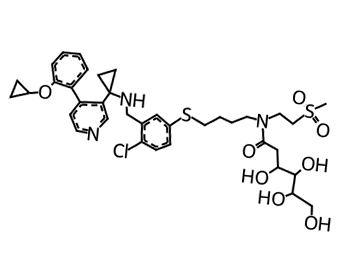 CS(=O)(=O)CCN(CCCCSc1ccc(Cl)c(CNC2(c3cnccc3-c3ccccc3OC3CC3)CC2)c1)C(=O)CC(O)C(O)C(O)CO